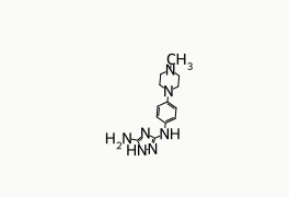 CN1CCN(c2ccc(Nc3n[nH]c(N)n3)cc2)CC1